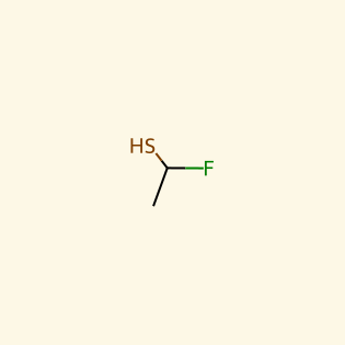 CC(F)S